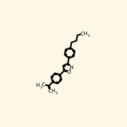 C=C(C)c1ccc(-c2cc(-c3ccc(CCCC)cc3)no2)cc1